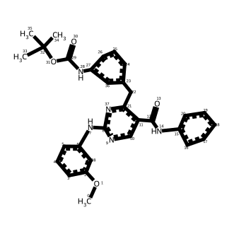 COc1cccc(Nc2ncc(C(=O)Nc3ccccc3)c(Cc3cccc(NC(=O)OC(C)(C)C)c3)n2)c1